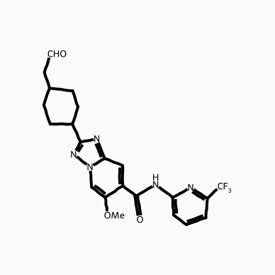 COc1cn2nc(C3CCC(CC=O)CC3)nc2cc1C(=O)Nc1cccc(C(F)(F)F)n1